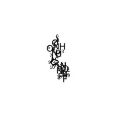 CCONC(=O)N(Cc1ccc(-c2noc(C(F)(F)F)n2)s1)OC